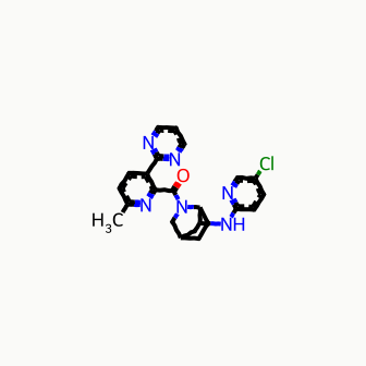 Cc1ccc(-c2ncccn2)c(C(=O)N2CC3CCC2C(Nc2ccc(Cl)cn2)C3)n1